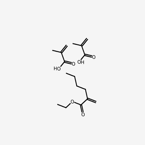 C=C(C)C(=O)O.C=C(C)C(=O)O.C=C(CCCC)C(=O)OCC